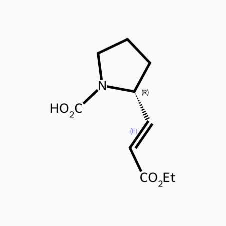 CCOC(=O)/C=C/[C@H]1CCCN1C(=O)O